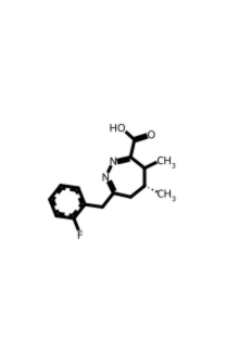 CC1C(C(=O)O)=NN=C(Cc2ccccc2F)C[C@H]1C